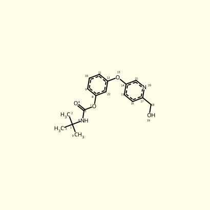 CC(C)(C)NC(=O)Oc1cccc(Oc2ccc(CO)nc2)c1